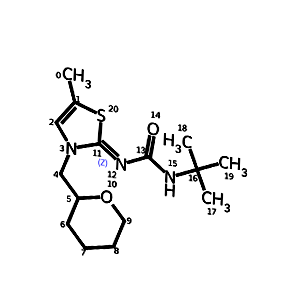 Cc1cn(CC2CCCCO2)/c(=N/C(=O)NC(C)(C)C)s1